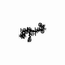 COCCCNc1nc(Nc2ccc3c(cnn3C)c2)ncc1C#CCCCNC(=O)[C@H](C)N(C)C=O